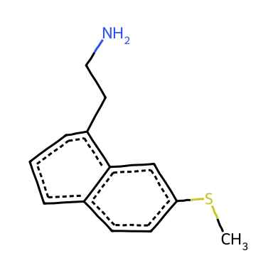 CSc1ccc2cccc(CCN)c2c1